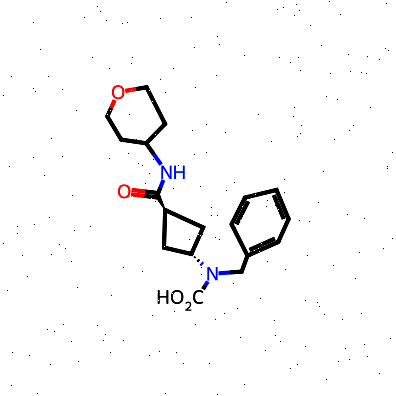 O=C(O)N(Cc1ccccc1)[C@H]1C[C@H](C(=O)NC2CCOCC2)C1